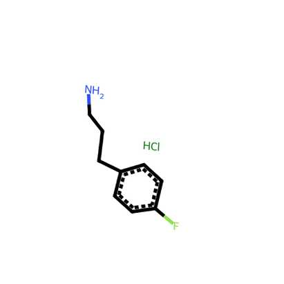 Cl.NCCCc1ccc(F)cc1